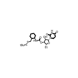 CC[C@H]1O[C@@H](n2ccc(=O)[nH]c2=O)[C@H](O)[C@@H]1OC(=O)Nc1ccccc1CSSC(C)(C)C